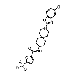 CCS(=O)(=O)c1ccc(C(=O)NC2CCC3(CC2)CCN(c2nc4cc(Cl)ccc4o2)CC3)o1